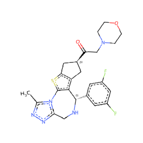 Cc1nnc2n1-c1sc3c(c1[C@H](c1cc(F)cc(F)c1)NC2)C[C@H](C(=O)CN1CCOCC1)C3